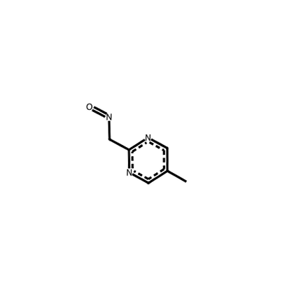 Cc1cnc(CN=O)nc1